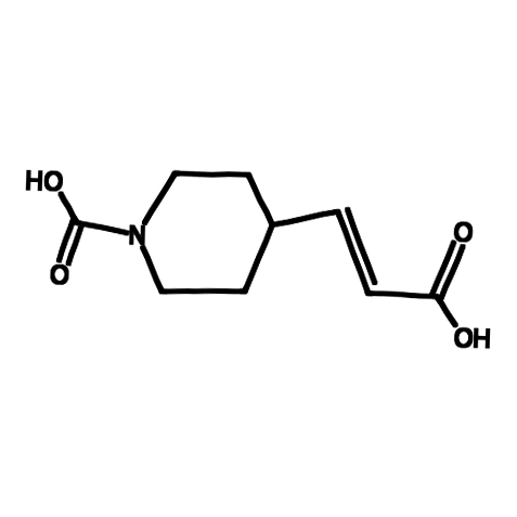 O=C(O)C=CC1CCN(C(=O)O)CC1